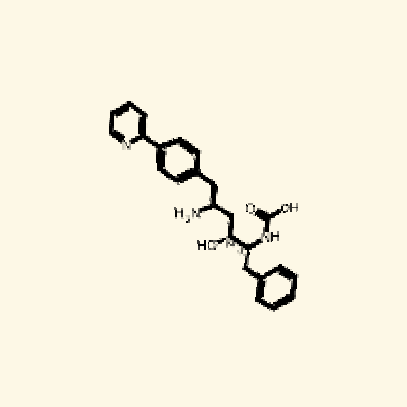 NC(Cc1ccc(-c2ccccn2)cc1)C[C@H](O)[C@H](Cc1ccccc1)NC(=O)O